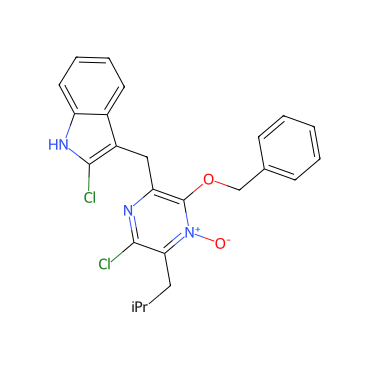 CC(C)Cc1c(Cl)nc(Cc2c(Cl)[nH]c3ccccc23)c(OCc2ccccc2)[n+]1[O-]